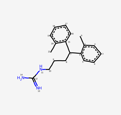 Cc1ccccc1C(CCCNC(=N)N)c1ccccc1C